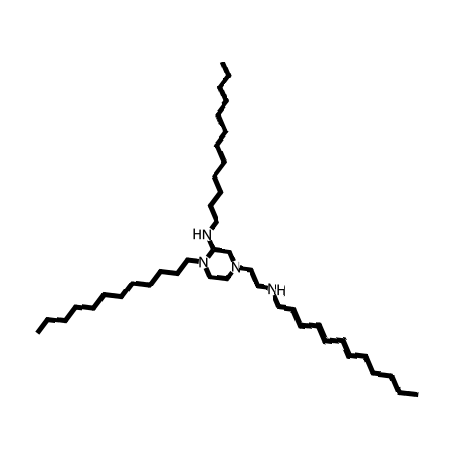 CCCCCCCCCCCCNCCN1CCN(CCCCCCCCCCCC)C(NCCCCCCCCCCCC)C1